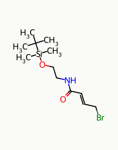 CC(C)(C)[Si](C)(C)OCCNC(=O)/C=C/CBr